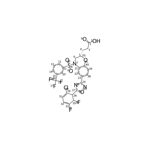 O=C(O)CC[C@H]1CN(S(=O)(=O)c2cccc(C(F)(F)F)c2)c2cc(-c3noc(C4C(Cl)=CC=C(F)C4F)n3)ccc2O1